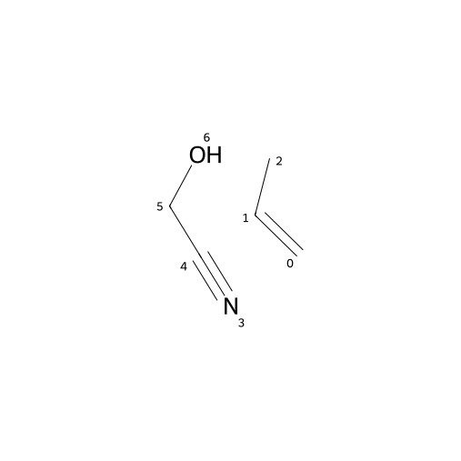 C=CC.N#CCO